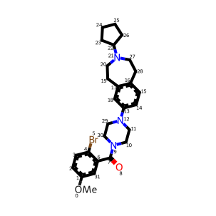 COc1ccc(Br)c(C(=O)N2CCN(c3ccc4c(c3)CCN(C3CCCC3)CC4)CC2)c1